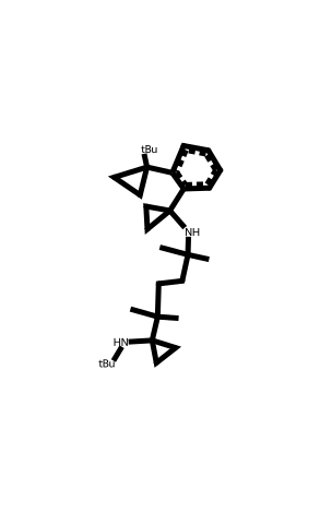 CC(C)(C)NC1(C(C)(C)CCC(C)(C)NC2(c3ccccc3C3(C(C)(C)C)CC3)CC2)CC1